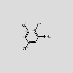 Nc1cc(Cl)cc(Cl)c1F